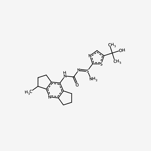 CC1CCc2c1nc1c(c2NC(=O)/N=S(\N)c2ncc(C(C)(C)O)s2)CCC1